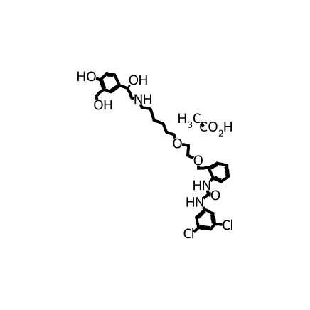 CC(=O)O.O=C(Nc1cc(Cl)cc(Cl)c1)Nc1ccccc1COCCOCCCCCCNC[C@H](O)c1ccc(O)c(CO)c1